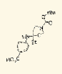 CCC1(Nc2ccc(C(=O)O)cc2)CCN(C(=O)OC(C)(C)C)CC1